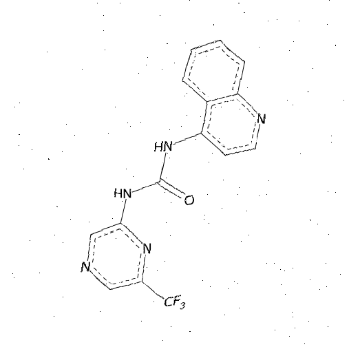 O=C(Nc1cncc(C(F)(F)F)n1)Nc1ccnc2ccccc12